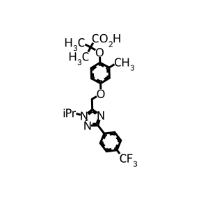 Cc1cc(OCc2nc(-c3ccc(C(F)(F)F)cc3)nn2C(C)C)ccc1OC(C)(C)C(=O)O